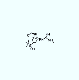 CC(=O)N[C@H]1C2CC(C)(C)[C@@H](O)C2C[C@@H]1CNC(=N)N